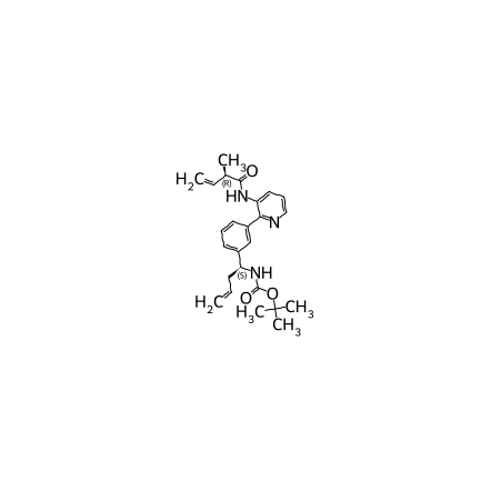 C=CC[C@H](NC(=O)OC(C)(C)C)c1cccc(-c2ncccc2NC(=O)[C@H](C)C=C)c1